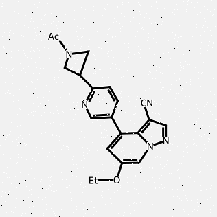 CCOc1cc(-c2ccc(C3CN(C(C)=O)C3)nc2)c2c(C#N)cnn2c1